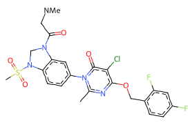 CNCC(=O)N1CN(S(C)(=O)=O)c2ccc(-n3c(C)nc(OCc4ccc(F)cc4F)c(Cl)c3=O)cc21